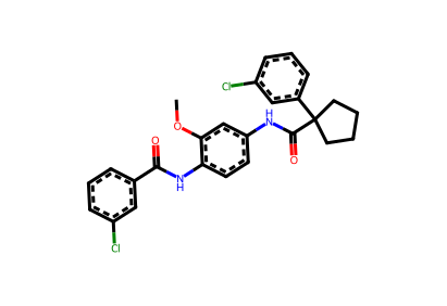 COc1cc(NC(=O)C2(c3cccc(Cl)c3)CCCC2)ccc1NC(=O)c1cccc(Cl)c1